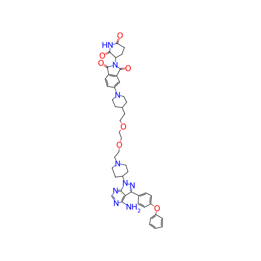 Nc1ncnc2c1c(-c1ccc(Oc3ccccc3)cc1)nn2C1CCN(CCOCCOCCC2CCN(c3ccc4c(c3)C(=O)N(C3CCC(=O)NC3=O)C4=O)CC2)CC1